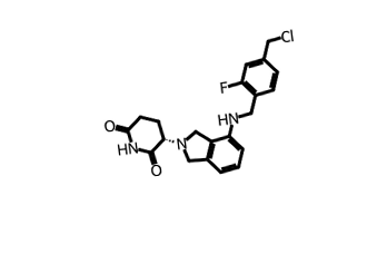 O=C1CC[C@H](N2Cc3cccc(NCc4ccc(CCl)cc4F)c3C2)C(=O)N1